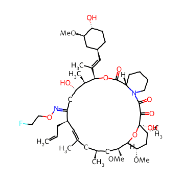 C=CC[C@@H]1/C=C(\C)C[C@H](C)C[C@H](OC)[C@H]2O[C@@](O)(C(=O)C(=O)N3CCCC[C@H]3C(=O)O[C@H](/C(C)=C/[C@@H]3CC[C@@H](O)[C@H](OC)C3)[C@H](C)[C@@H](O)C/C1=N/OCCF)[C@H](C)C[C@@H]2OC